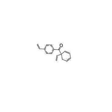 C=Cc1ccc(C(=O)C2(C=C)C=CC=CC2)cc1